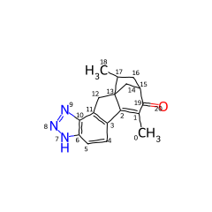 CC1=C2c3ccc4[nH]nnc4c3CC23CC(CC3C)C1=O